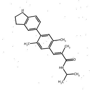 C/C(=C\c1cc(C)c(-c2ccc3c(c2)CCN3)cc1C)C(=O)NC(C)C